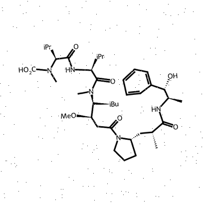 CC[C@H](C)[C@@H]([C@@H](CC(=O)N1CCC[C@H]1C[C@@H](C)C(=O)N[C@H](C)[C@@H](O)c1ccccc1)OC)N(C)C(=O)[C@@H](NC(=O)[C@H](C(C)C)N(C)C(=O)O)C(C)C